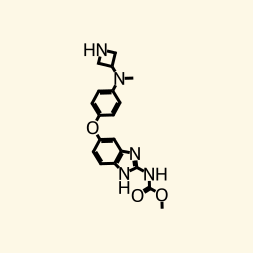 COC(=O)Nc1nc2cc(Oc3ccc(N(C)C4CNC4)cc3)ccc2[nH]1